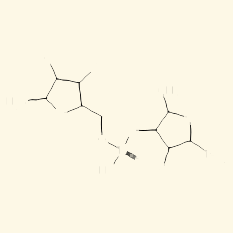 BC1OC(COP(=O)(S)OC2C(C)OC(B)C2C)C(C)C1C